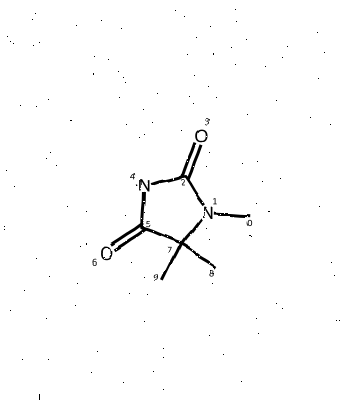 CN1C(=O)[N]C(=O)C1(C)C